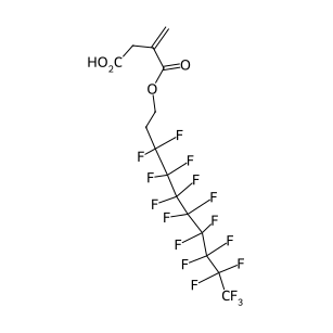 C=C(CC(=O)O)C(=O)OCCC(F)(F)C(F)(F)C(F)(F)C(F)(F)C(F)(F)C(F)(F)C(F)(F)C(F)(F)F